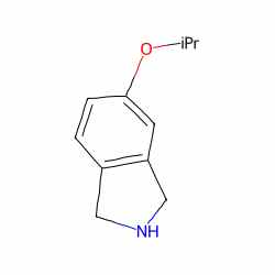 CC(C)Oc1ccc2c(c1)CNC2